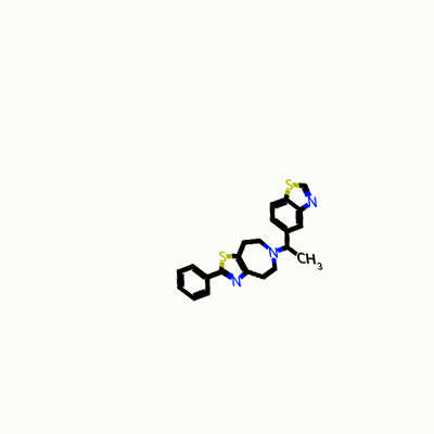 CC(c1ccc2scnc2c1)N1CCc2nc(-c3ccccc3)sc2CC1